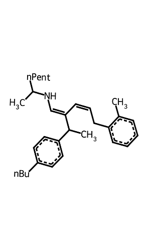 CCCCCC(C)N/C=C(\C=C/Cc1ccccc1C)C(C)c1ccc(CCCC)cc1